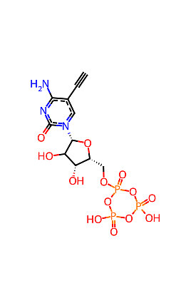 C#Cc1cn([C@@H]2O[C@H](COP3(=O)OP(=O)(O)OP(=O)(O)O3)[C@H](O)C2O)c(=O)nc1N